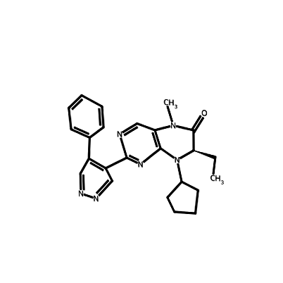 CC[C@@H]1C(=O)N(C)c2cnc(-c3cnncc3-c3ccccc3)nc2N1C1CCCC1